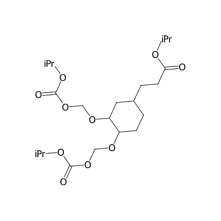 CC(C)OC(=O)CCC1CCC(OCOC(=O)OC(C)C)C(OCOC(=O)OC(C)C)C1